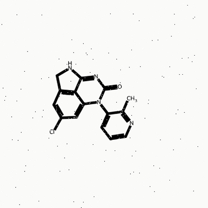 Cc1ncccc1-n1c(=O)nc2c3c(cc(Cl)cc31)CN2